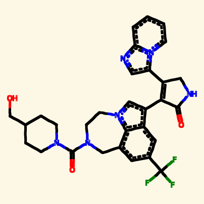 O=C1NCC(c2cnc3ccccn23)=C1c1cn2c3c(cc(C(F)(F)F)cc13)CN(C(=O)N1CCC(CO)CC1)CC2